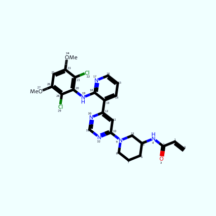 C=CC(=O)NC1CCCN(c2cc(-c3cccnc3Nc3c(Cl)c(OC)cc(OC)c3Cl)ncn2)C1